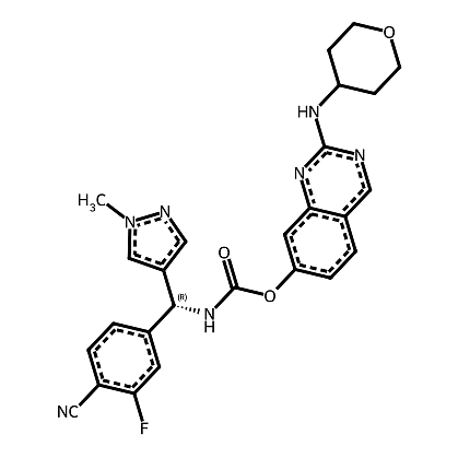 Cn1cc([C@H](NC(=O)Oc2ccc3cnc(NC4CCOCC4)nc3c2)c2ccc(C#N)c(F)c2)cn1